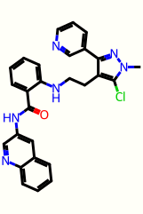 Cn1nc(-c2cccnc2)c(CCNc2ccccc2C(=O)Nc2cnc3ccccc3c2)c1Cl